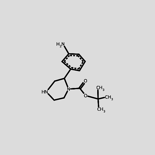 CC(C)(C)OC(=O)N1CCNCC1c1cccc(N)c1